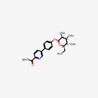 COC(=O)c1ccc(-c2ccc(O[C@@H]3O[C@H](COC(C)=O)[C@@H](OC(C)=O)[C@H](OC(C)=O)[C@@H]3OC(C)=O)cc2)cn1